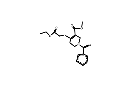 CCOC(=O)CSC1=C(C(=O)OC)CN(C(=O)c2ccccc2)CC1